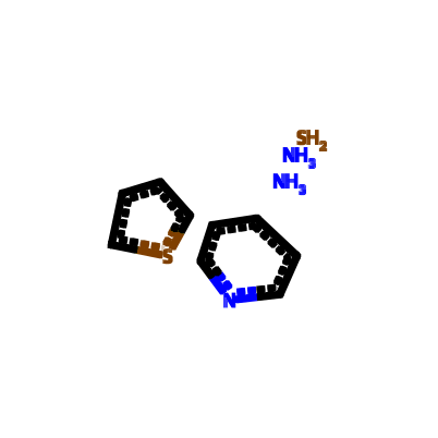 N.N.S.c1ccncc1.c1ccsc1